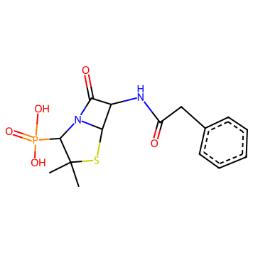 CC1(C)SC2C(NC(=O)Cc3ccccc3)C(=O)N2C1P(=O)(O)O